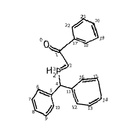 O=C(C=[PH2]C(c1ccccc1)c1ccccc1)c1ccccc1